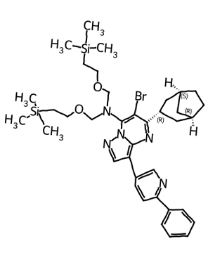 C[Si](C)(C)CCOCN(COCC[Si](C)(C)C)c1c(Br)c([C@H]2C[C@@H]3CC[C@@H](C3)C2)nc2c(-c3ccc(-c4ccccc4)nc3)cnn12